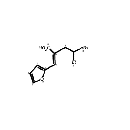 CCCCC(CC)C/C(=C/c1ccco1)C(=O)O